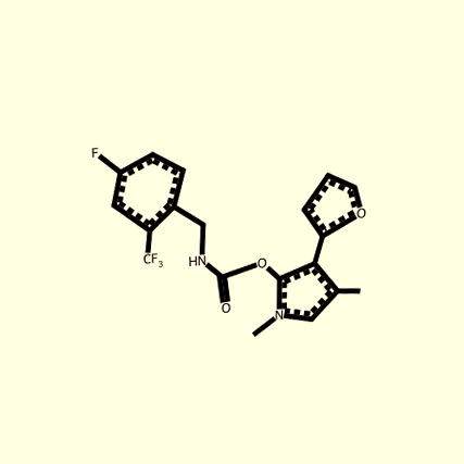 Cc1cn(C)c(OC(=O)NCc2ccc(F)cc2C(F)(F)F)c1-c1ccco1